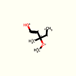 CCC(C)(C=CO)OC